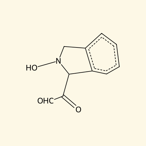 O=CC(=O)C1c2ccccc2CN1O